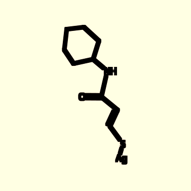 O=C(C=C[S][Ag])NC1CCCCC1